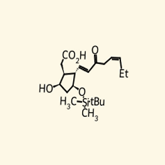 CC/C=C\CC(=O)/C=C/[C@H]1[C@H](CC(=O)O)[C@H](O)C[C@@H]1O[Si](C)(C)C(C)(C)C